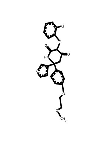 COCCOc1ccc(C2(c3ccsc3)CC(=O)C(Sc3ccccc3Cl)C(=O)N2)cc1